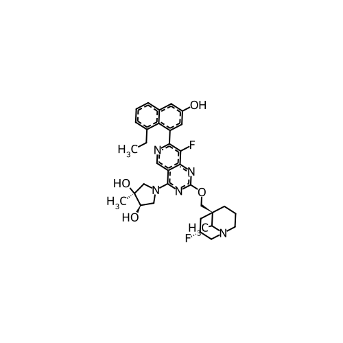 CCc1cccc2cc(O)cc(-c3ncc4c(N5C[C@@H](O)[C@@](C)(O)C5)nc(OC[C@]56CCCN(C[C@H](F)C5)C6C)nc4c3F)c12